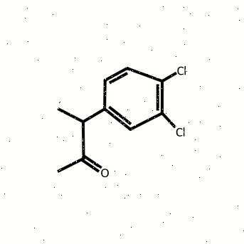 CC(=O)C(C)c1ccc(Cl)c(Cl)c1